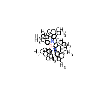 Cc1cc2c(cc1N1c3cc(C(C)(C)C)ccc3B3c4cc5c(cc4N(c4ccc6c(c4)C(C)(C)CCC6(C)C)c4cc(C(C)(C)C)cc1c43)C(C)(C)CCC5(C)C)C(C)(C)CCC2(C)C